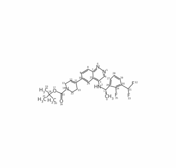 C[C@@H](Nc1cnnc2ccc(C3=CCN(C(=O)OC(C)(C)C)CC3)cc12)c1cccc(C(F)F)c1F